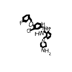 CNc1cccc(CN2CCC(N)CC2)c1C(=N)Nc1ccc(OCc2cccc(F)c2)c(Cl)c1